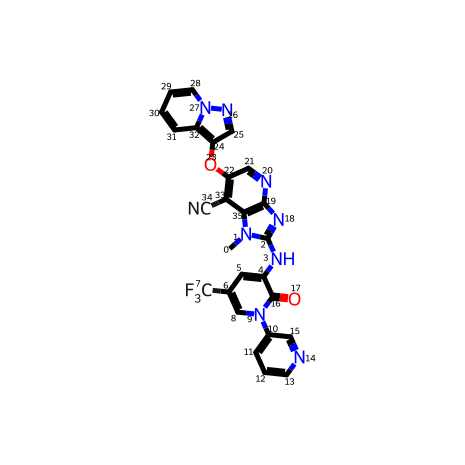 Cn1c(Nc2cc(C(F)(F)F)cn(-c3cccnc3)c2=O)nc2ncc(Oc3cnn4ccccc34)c(C#N)c21